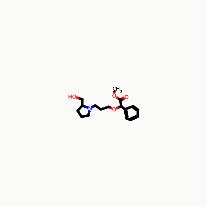 COC(=O)C(OCCCN1CCCC1CO)c1ccccc1